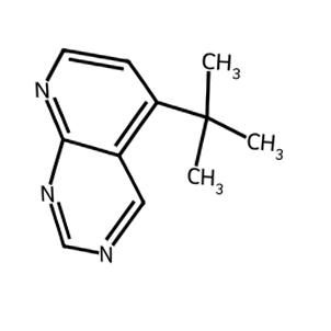 CC(C)(C)c1ccnc2ncncc12